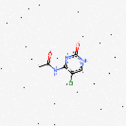 CC(=O)Nc1nc(=O)[nH]cc1Cl